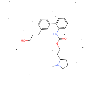 CN1CCCC1CCOC(=O)Nc1ccccc1-c1cccc(CCCO)c1